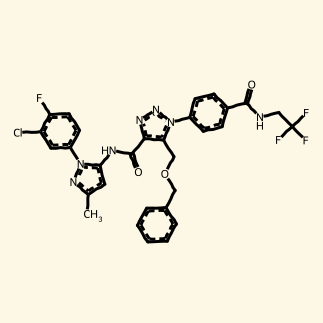 Cc1cc(NC(=O)c2nnn(-c3ccc(C(=O)NCC(F)(F)F)cc3)c2COCc2ccccc2)n(-c2ccc(F)c(Cl)c2)n1